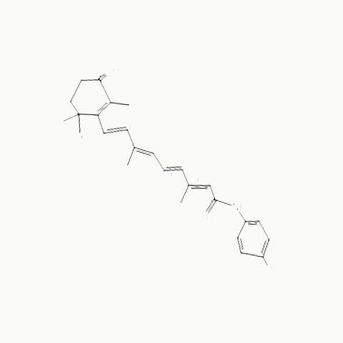 CC1=C(/C=C/C(C)=C/C=C/C(C)=C/C(=O)Nc2ccc(F)cc2)C(C)(C)CCC1=O